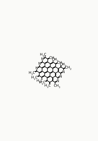 C=c1nc2nc3nc(C)c4c(=C)c(=C)c5c6c(C)c(=C)c7c(=C)nc8nc9nc(C)c(=C)c%10c%11c(C)c(=C)c%12c(c1=C)c2c1c3c4c5c2c3c6c7c8c(c9%10)c3c%11c%12c12